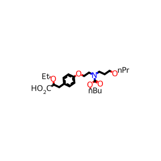 CCCCOC(=O)N(CCCOCCC)CCOc1ccc(CC(OCC)C(=O)O)cc1